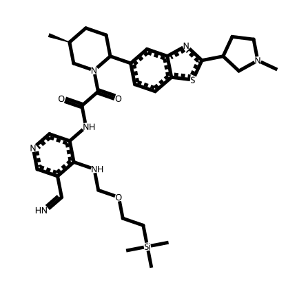 C[C@H]1CCC(c2ccc3sc(C4CCN(C)C4)nc3c2)N(C(=O)C(=O)Nc2cncc(C=N)c2NCOCC[Si](C)(C)C)C1